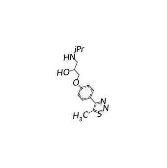 Cc1snnc1-c1ccc(OCC(O)CNC(C)C)cc1